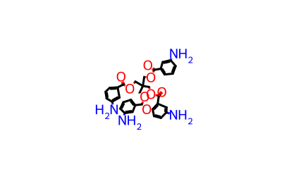 Nc1cccc(C(=O)OCC(COC(=O)c2cccc(N)c2)(COC(=O)c2cccc(N)c2)COC(=O)c2cccc(N)c2)c1